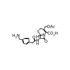 CC(=O)OCC1=C(C(=O)O)N2C(=O)C(NC(=O)Cc3ccc(CN)cc3)[C@@H]2SC1